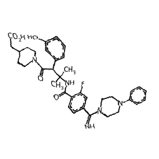 CC(C)(NC(=O)c1ccc(C(=N)N2CCN(c3ccccc3)CC2)cc1F)C(C(=O)N1CCC(CC(=O)O)CC1)c1cccc(O)c1